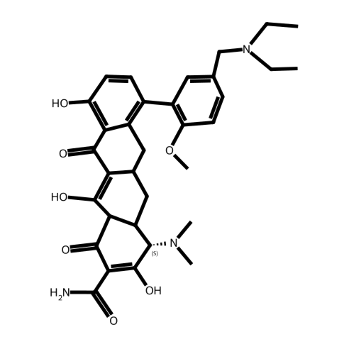 CCN(CC)Cc1ccc(OC)c(-c2ccc(O)c3c2CC2CC4C(C(=O)C(C(N)=O)=C(O)[C@H]4N(C)C)C(O)=C2C3=O)c1